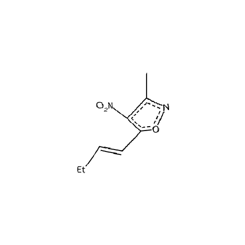 CCC=Cc1onc(C)c1[N+](=O)[O-]